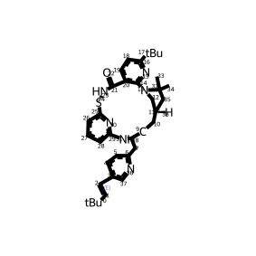 CC(C)(C)/C=C/c1ccc(CC2CC[C@@H]3CN(c4nc(C(C)(C)C)ccc4C(=O)NSc4cccc(n4)N2)C(C)(C)C3)nc1